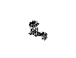 CNc1ccc(-c2cc(C(F)(F)F)c3c(N)ncnn23)cc1C(=O)N[C@@H]1CN(C(=O)CC(C(F)(F)F)C(F)(F)F)C[C@@H]1F